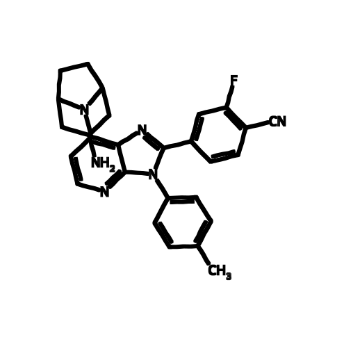 Cc1ccc(-n2c(-c3ccc(C#N)c(F)c3)nc3c(N4C5CCC4CC(N)C5)ccnc32)cc1